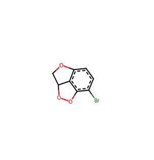 Brc1ccc2c3c1OOC3CO2